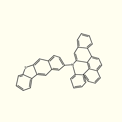 c1ccc(N(c2ccc3cc4sc5ccccc5c4cc3c2)c2cc3ccccc3c3ccc4ccccc4c23)cc1